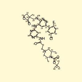 CC1CN(CCC(=O)Nc2cc(Nc3cc(-c4cc(Cl)ccc4F)nnc3N(C)CC3(C)CCOC3=O)ncn2)CC(C)N1C(=O)OC(C)(C)C